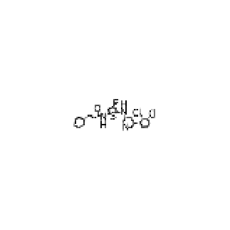 O=C(C=Cc1ccccc1)Nc1cc(F)c(Nc2cncc(-c3cccc(Cl)c3Cl)c2)s1